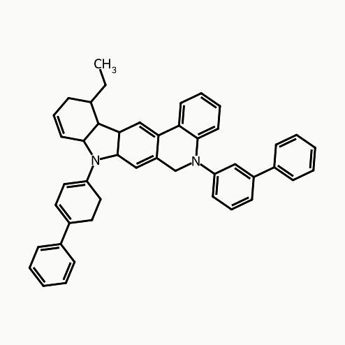 CCC1CC=CC2C1C1C=C3C(=CC1N2C1=CC=C(c2ccccc2)CC1)CN(c1cccc(-c2ccccc2)c1)c1ccccc13